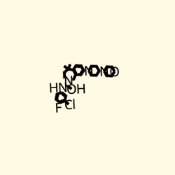 CC1(C)CCN(C(O)Nc2ccc(F)c(Cl)c2)Cc2cc(N3CCC(N4CCOCC4)CC3)ccc21